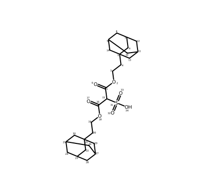 O=C(OCCC12CC3CC(CC(C3)C1)C2)C(C(=O)OCCC12CC3CC(CC(C3)C1)C2)S(=O)(=O)O